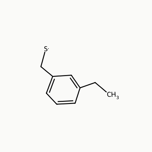 CCc1cccc(C[S])c1